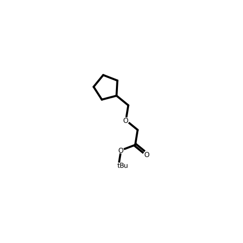 CC(C)(C)OC(=O)COCC1CCCC1